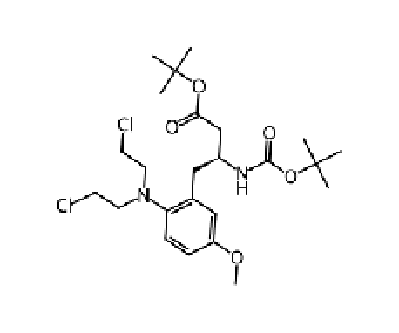 COc1ccc(N(CCCl)CCCl)c(C[C@@H](CC(=O)OC(C)(C)C)NC(=O)OC(C)(C)C)c1